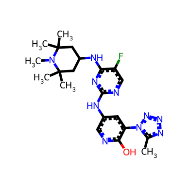 Cc1nnnn1-c1cc(Nc2ncc(F)c(NC3CC(C)(C)N(C)C(C)(C)C3)n2)cnc1O